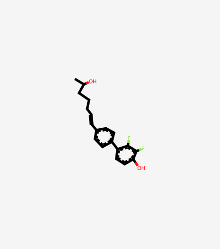 CC(O)CCC/C=C/c1ccc(-c2ccc(O)c(F)c2F)cc1